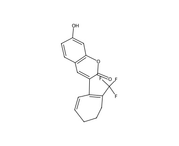 O=c1oc2cc(O)ccc2cc1C1=C(C(F)(F)F)CCCC=C1